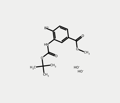 [B+2]c1ccc(C(=O)OC)cc1NC(=O)OC(C)(C)C.[OH-].[OH-]